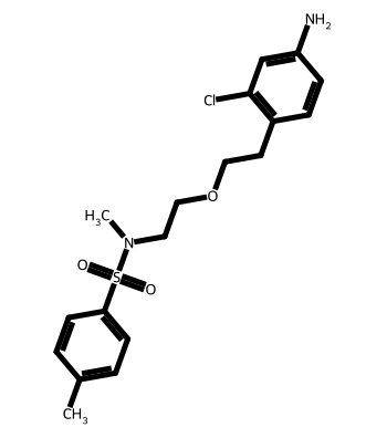 Cc1ccc(S(=O)(=O)N(C)CCOCCc2ccc(N)cc2Cl)cc1